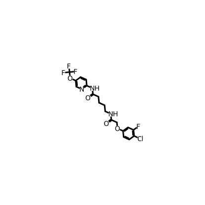 O=C(COc1ccc(Cl)c(F)c1)NCCCCC(=O)Nc1ccc(OC(F)(F)F)cn1